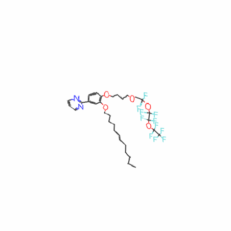 CCCCCCCCCCCCOc1cc(-c2ncccn2)ccc1OCCCCOCC(F)(F)OC(F)(F)C(F)(F)OC(F)(F)C(F)(F)F